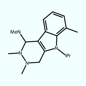 CNC1c2c(n(C(C)C)c3c(C)cccc23)CN(C)N1C